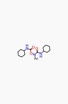 CC(=O)N(OC(=O)NC1CCCCC1)C(=O)NC1CCCCC1